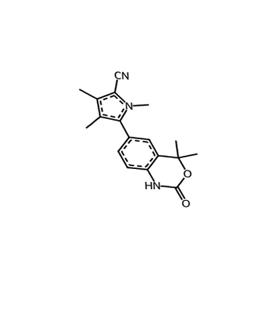 Cc1c(C)c(-c2ccc3c(c2)C(C)(C)OC(=O)N3)n(C)c1C#N